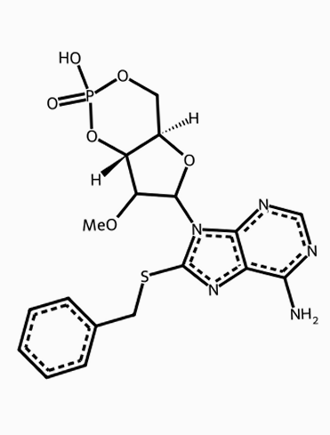 COC1C(n2c(SCc3ccccc3)nc3c(N)ncnc32)O[C@@H]2COP(=O)(O)O[C@@H]12